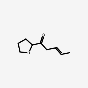 CC=CCC(=O)C1CCCO1